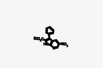 CCOC(=O)c1[nH]c2ncc([N+](=O)[O-])cc2c1-c1ccccc1